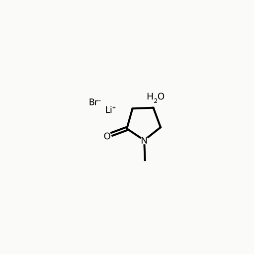 CN1CCCC1=O.O.[Br-].[Li+]